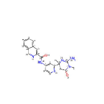 CN1C(=O)CC(C)(c2cc(NC(=O)c3cc4ccccc4cn3)ccn2)N=C1N